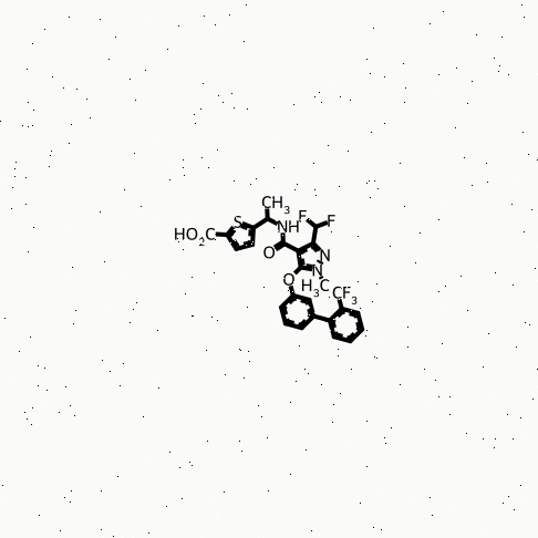 CC(NC(=O)c1c(C(F)F)nn(C)c1Oc1cccc(-c2ccccc2C(F)(F)F)c1)c1ccc(C(=O)O)s1